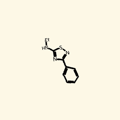 CCNc1nc(-c2ccccc2)ns1